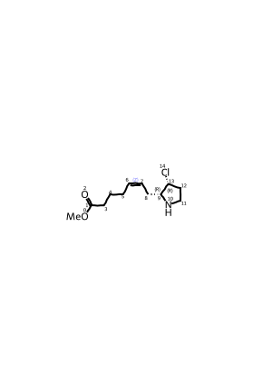 COC(=O)CCC/C=C\C[C@H]1NCC[C@H]1Cl